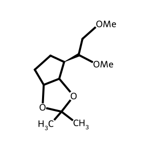 COCC(OC)[C@@H]1CCC2OC(C)(C)OC21